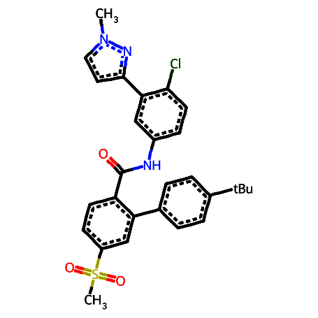 Cn1ccc(-c2cc(NC(=O)c3ccc(S(C)(=O)=O)cc3-c3ccc(C(C)(C)C)cc3)ccc2Cl)n1